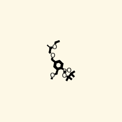 CCO[C@H](C)COCc1ccc(B2OC(C)(C)C(C)(C)O2)c(COC)c1